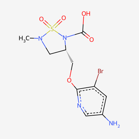 CN1C[C@@H](COc2ncc(N)cc2Br)N(C(=O)O)S1(=O)=O